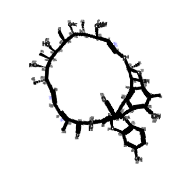 CO[C@H]1/C=C/O[C@@]2(C)Oc3c(C)c(O)c4c(=O)c(c5oc6cc(O)ccc6nc-5c4c3C2O)NC(=O)/C(C)=C\C=C\[C@H](C)[C@H](O)[C@@H](C)[C@@H](O)[C@@H](C)[C@H](OC(C)=O)[C@@H]1C